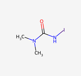 CN(C)C(=O)NI